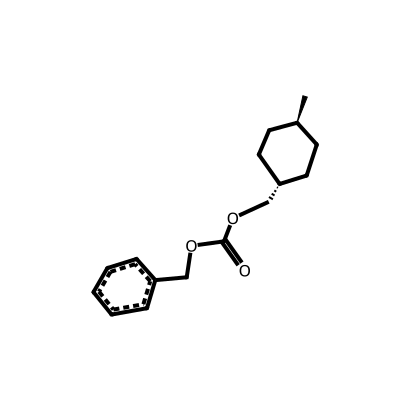 C[C@H]1CC[C@H](COC(=O)OCc2ccccc2)CC1